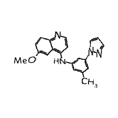 COc1ccc2nccc(Nc3cc(C)cc(-n4cccn4)c3)c2c1